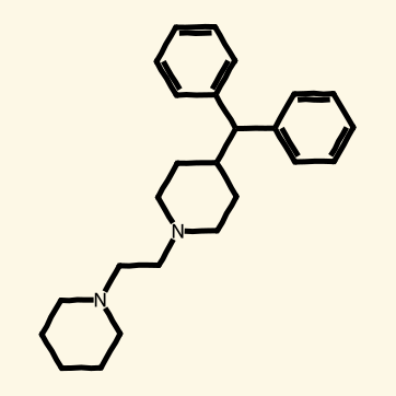 c1ccc(C(c2ccccc2)C2CCN(CCN3CCCCC3)CC2)cc1